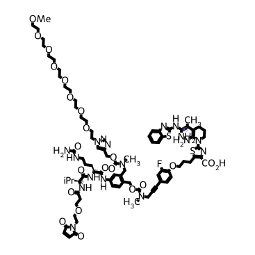 COCCOCCOCCOCCOCCOCCOCCOCCn1cc(COC(=O)N(C)Cc2cc(NC(=O)[C@H](CCCNC(N)=O)NC(=O)[C@@H](NC(=O)CCOCCN3C(=O)C=CC3=O)C(C)C)ccc2COC(=O)N(C)CC#Cc2ccc(OCCCc3sc(N4CCCC(/C(C)=C(\N)Nc5nc6ccccc6s5)=C4N)nc3C(=O)O)c(F)c2)nn1